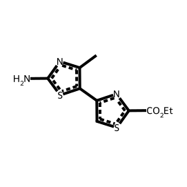 CCOC(=O)c1nc(-c2sc(N)nc2C)cs1